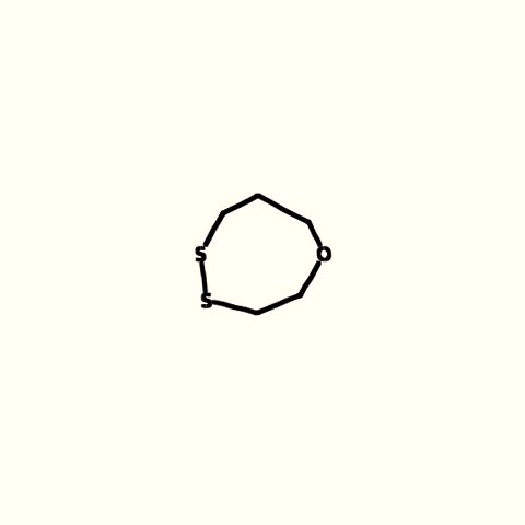 C1COCCSSC1